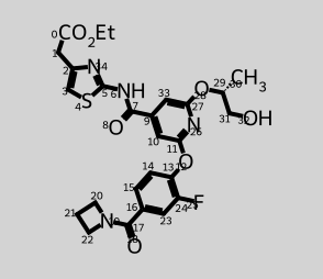 CCOC(=O)Cc1csc(NC(=O)c2cc(Oc3ccc(C(=O)N4CCC4)cc3F)nc(O[C@H](C)CO)c2)n1